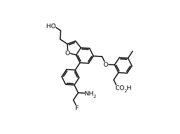 Cc1ccc(CC(=O)O)c(OCc2cc(-c3cccc(C(N)CF)c3)c3oc(CCO)cc3c2)c1